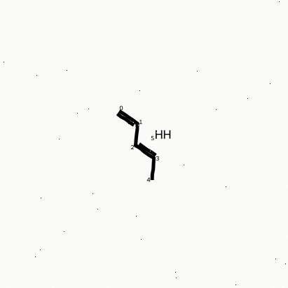 C=CC=CC.[HH]